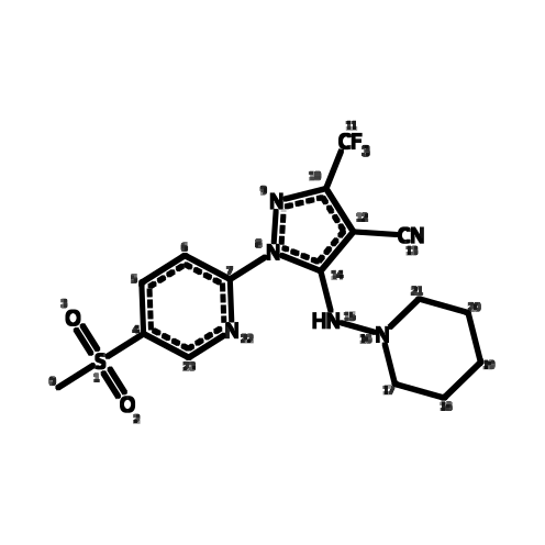 CS(=O)(=O)c1ccc(-n2nc(C(F)(F)F)c(C#N)c2NN2CCCCC2)nc1